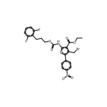 CCOC(=O)c1c(NC(=O)OCCCc2c(F)cccc2F)sc(-c2ccc([N+](=O)[O-])cc2)c1CBr